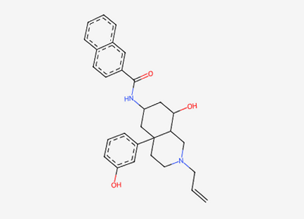 C=CCN1CCC2(c3cccc(O)c3)CC(NC(=O)c3ccc4ccccc4c3)CC(O)C2C1